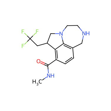 CNC(=O)c1ccc2c3c1C(CC(F)(F)F)CN3CCNC2